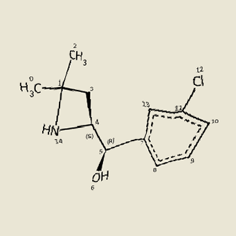 CC1(C)C[C@@H]([C@H](O)c2cccc(Cl)c2)N1